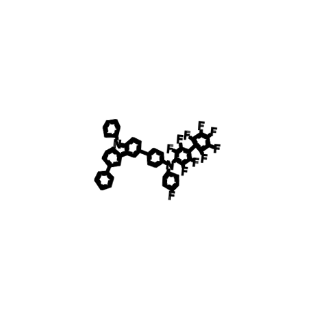 Fc1ccc(N(c2ccc(-c3ccc4c(c3)c3cc(-c5ccccc5)ccc3n4-c3ccccc3)cc2)c2c(F)c(F)c(-c3c(F)c(F)c(F)c(F)c3F)c(F)c2F)cc1